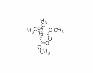 COC(=O)/C=[C](\C(=O)OC)[SnH]([CH3])[CH3]